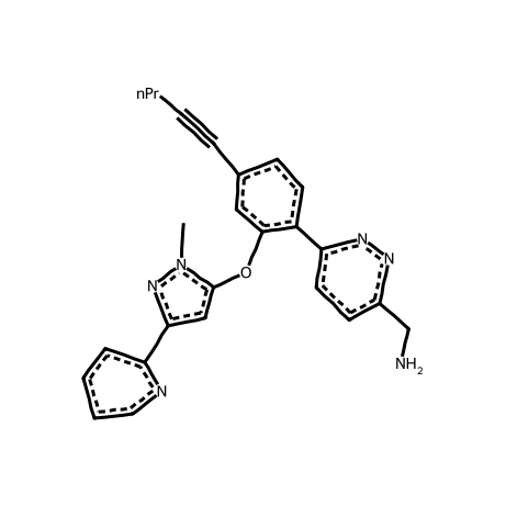 CCCC#Cc1ccc(-c2ccc(CN)nn2)c(Oc2cc(-c3ccccn3)nn2C)c1